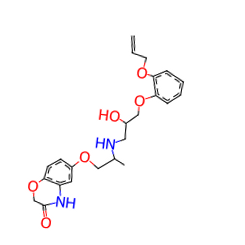 C=CCOc1ccccc1OCC(O)CNC(C)COc1ccc2c(c1)NC(=O)CO2